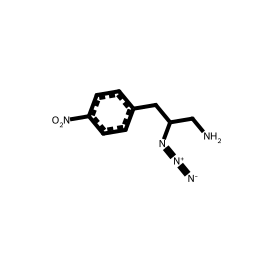 [N-]=[N+]=NC(CN)Cc1ccc([N+](=O)[O-])cc1